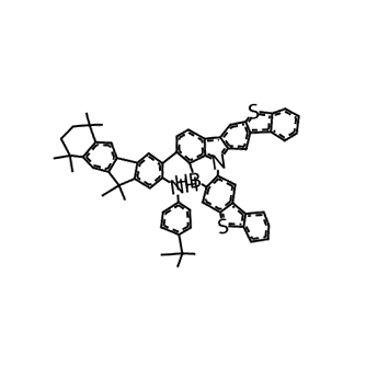 CC(C)(C)c1ccc(Nc2cc3c(cc2-c2ccc4c5cc6sc7ccccc7c6cc5n5c4c2Bc2cc4sc6ccccc6c4cc2-5)-c2cc4c(cc2C3(C)C)C(C)(C)CCC4(C)C)cc1